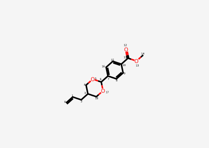 C=CCC1COC(c2ccc(C(=O)OC)cc2)OC1